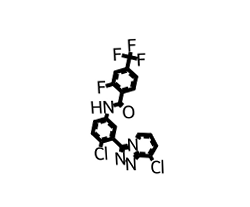 O=C(Nc1ccc(Cl)c(-c2nnc3c(Cl)cccn23)c1)c1ccc(C(F)(F)F)cc1F